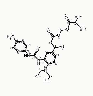 CCC(CC(=O)OCOC(=O)C(N)C(C)C)c1ccc(N(CC(C)C)CC(C)C)c(NC(=O)Nc2ccc(C)cc2)c1